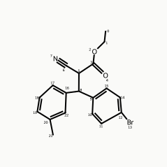 CCOC(=O)C(C#N)C(c1ccc(Br)cc1)c1cccc(C)c1